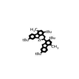 Cc1cc(C(C)(C)C)c(C[CH]([Zr])c2c(C(C)(C)C)cc(C)c3c2Cc2cc(C(C)(C)C)ccc2-3)c2c1-c1ccc(C(C)(C)C)cc1C2